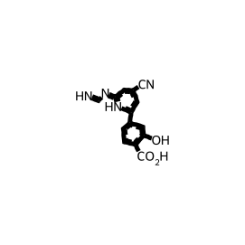 N#Cc1cc(-c2ccc(C(=O)O)c(O)c2)[nH]/c(=N\C=N)c1